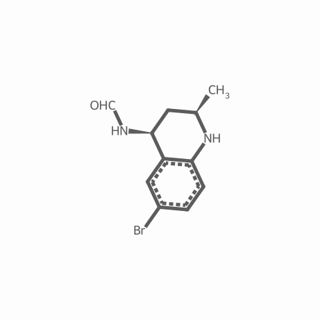 C[C@@H]1C[C@H](NC=O)c2cc(Br)ccc2N1